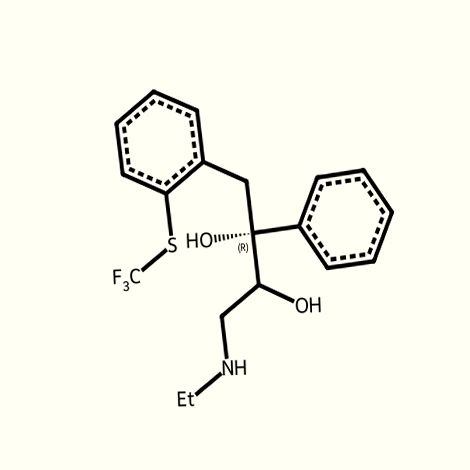 CCNCC(O)[C@@](O)(Cc1ccccc1SC(F)(F)F)c1ccccc1